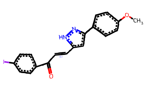 COc1ccc(-c2cc(/C=C/C(=O)c3ccc(I)cc3)[nH]n2)cc1